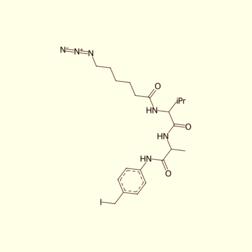 CC(NC(=O)C(NC(=O)CCCCCN=[N+]=[N-])C(C)C)C(=O)Nc1ccc(CI)cc1